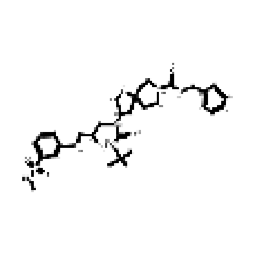 CNS(=O)(=O)c1cccc(OCC(O)CN(C(=O)OC(C)(C)C)C2COC3(CCN(C(=O)OCc4ccccc4)CC3)C2)c1